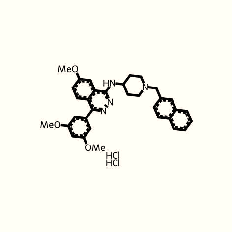 COc1cc(OC)cc(-c2nnc(NC3CCN(Cc4ccc5ccccc5c4)CC3)c3cc(OC)ccc23)c1.Cl.Cl